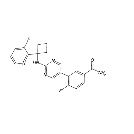 NC(=O)c1ccc(F)c(-c2cnc(NC3(c4ncccc4F)CCC3)nc2)c1